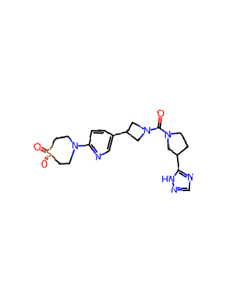 O=C(N1CC(c2ccc(N3CCS(=O)(=O)CC3)nc2)C1)N1CCC(c2ncn[nH]2)C1